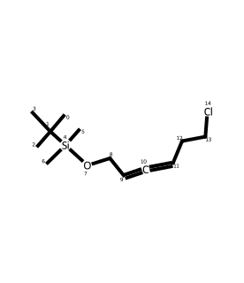 CC(C)(C)[Si](C)(C)OCC=C=CCCCl